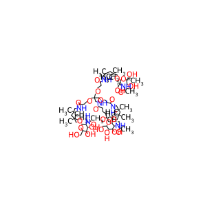 CC(=O)CCCC(=O)NCC(COCCC(=O)NCC(C)(C)CC(C)(C)COC1OC(CO)C(O)C(O)C1NC(C)=O)(COCCC(=O)NCC(C)(C)CC(C)(C)COC1OC(CO)C(O)C(O)C1NC(C)=O)COCCC(=O)NCC(C)(C)CC(C)(C)COC(OC(CO)[C@@H](C)O)[C@H](CO)NC(C)=O